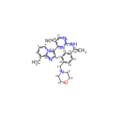 Cc1cccn2c(-c3nc(N[C@@H](C)c4ccc(CN5CCOCC5)cc4)ncc3C#N)cnc12